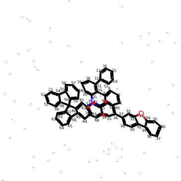 c1ccc(-c2ccccc2-c2c(-c3ccccc3)cccc2N(c2ccc(-c3ccc4c(c3)oc3ccccc34)cc2)c2ccc3c(c2)C2(c4ccccc4-c4ccccc42)c2ccccc2-3)cc1